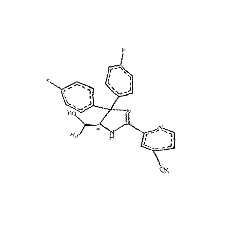 CC(O)[C@@H]1NC(c2cc(C#N)ccn2)=NC1(c1ccc(F)cc1)c1ccc(F)cc1